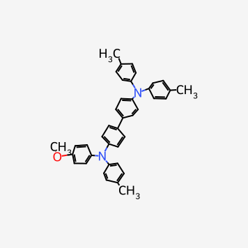 COc1ccc(N(c2ccc(C)cc2)c2ccc(-c3ccc(N(c4ccc(C)cc4)c4ccc(C)cc4)cc3)cc2)cc1